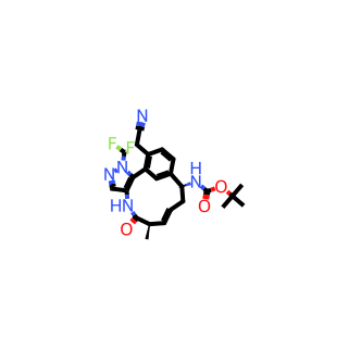 C[C@@H]1/C=C/C[C@H](NC(=O)OC(C)(C)C)c2ccc(CC#N)c(c2)-c2c(cnn2C(F)F)NC1=O